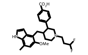 COc1cc(C)c2[nH]ccc2c1CC1CCN(CCC(F)F)CC1c1ccc(C(=O)O)cc1